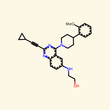 COc1ccccc1C1CCN(c2nc(C#CC3CC3)nc3ccc(NCCO)cc23)CC1